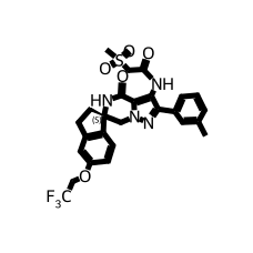 Cc1cccc(-c2nn3c(c2NC(=O)CS(C)(=O)=O)C(=O)N[C@]2(CCc4cc(OCC(F)(F)F)ccc42)C3)c1